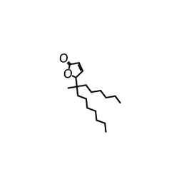 CCCCCCCC(C)(CCCCCC)C1C=CC(=O)O1